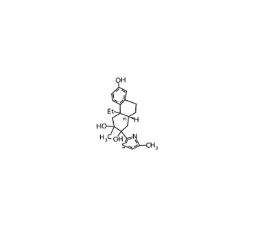 CCC12CC(C)(O)C(O)(c3nc(C)cs3)C[C@H]1CCc1cc(O)ccc12